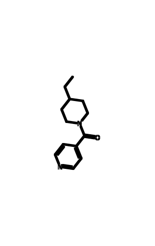 CCC1CCN(C(=O)c2ccncc2)CC1